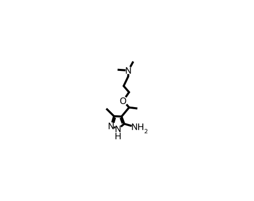 Cc1n[nH]c(N)c1C(C)OCCCN(C)C